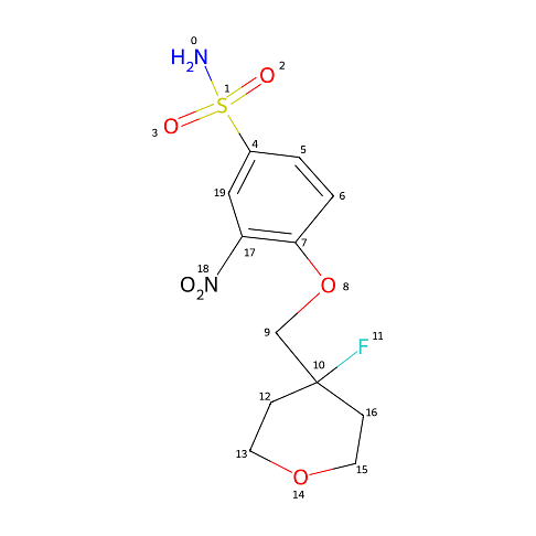 NS(=O)(=O)c1ccc(OCC2(F)CCOCC2)c([N+](=O)[O-])c1